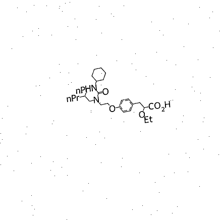 CCCC(CCC)CN(CCOc1ccc(CC(OCC)C(=O)O)cc1)C(=O)NC1CCCCC1